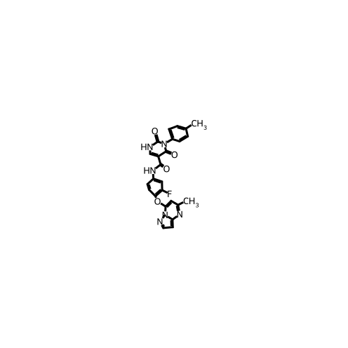 Cc1ccc(-n2c(=O)[nH]cc(C(=O)Nc3ccc(Oc4cc(C)nc5ccnn45)c(F)c3)c2=O)cc1